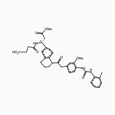 COC(=O)C[C@@H](NC(=O)CCC(=O)O)c1ccc2c(c1)CCCN2C(=O)Cc1ccc(NC(=O)Nc2ccccc2C)c(OC)c1